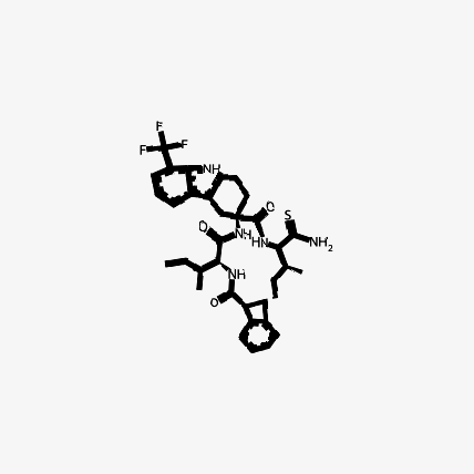 CCC(C)[C@H](NC(=O)C1Cc2ccccc21)C(=O)N[C@]1(C(=O)NC(C(N)=S)[C@@H](C)CC)CCc2[nH]c3c(C(F)(F)F)cccc3c2C1